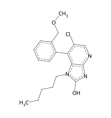 CCCCCn1c(O)nc2ncc(Cl)c(-c3ccccc3COC)c21